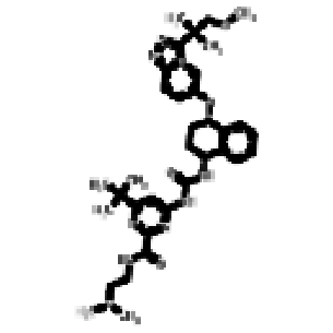 COCC(C)(C)c1nnc2ccc(O[C@@H]3CC[C@H](NC(=O)Nc4cc(C(C)(C)C)nc(C(=O)NCCN(C)C)n4)c4ccccc43)cn12